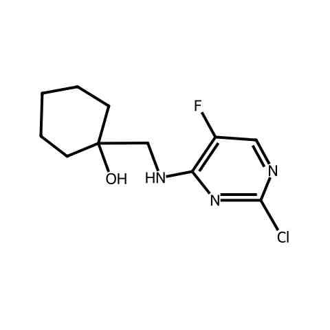 OC1(CNc2nc(Cl)ncc2F)CCCCC1